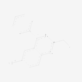 ClCc1nc(-c2ccccc2)c2cc(Cl)ccc2n1